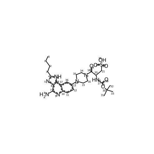 CCCCc1nc2c(N)nc3ccc(N4CCN(C(=O)C(CS(=O)(=O)O)NC(=O)OC(C)(C)C)CC4)cc3c2[nH]1